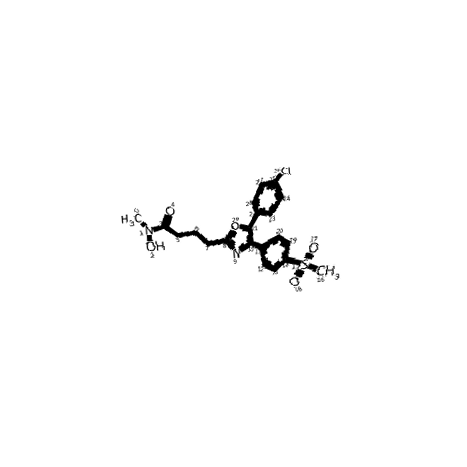 CN(O)C(=O)CCCc1nc(-c2ccc(S(C)(=O)=O)cc2)c(-c2ccc(Cl)cc2)o1